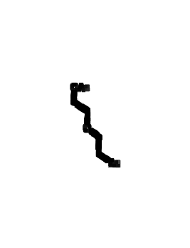 CC(=O)CCOCCOC(C)=O